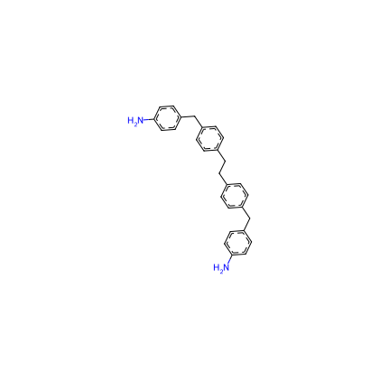 Nc1ccc(Cc2ccc(CCc3ccc(Cc4ccc(N)cc4)cc3)cc2)cc1